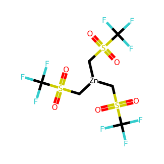 O=S(=O)([CH2][Zn]([CH2]S(=O)(=O)C(F)(F)F)[CH2]S(=O)(=O)C(F)(F)F)C(F)(F)F